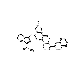 CC(=O)c1nn(CC(=O)N2C[C@H](F)C[C@H]2C(=O)Nc2cccc(-c3ccc4nccnc4c3)c2F)c2ccccc12